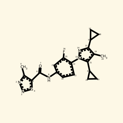 Cc1nnsc1C(=O)Nc1ccc(-n2nc(C3CC3)c(C)c2C2CC2)c(F)c1